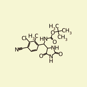 Cc1c(C(NC(=O)OC(C)(C)C)C2NC(=O)NC2=O)ccc(C#N)c1Cl